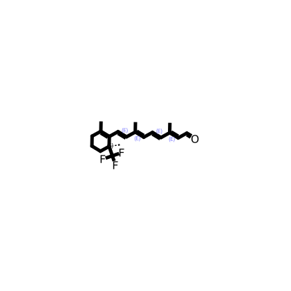 CC1=C(/C=C/C(C)=C/C=C/C(C)=C/C=O)[C@@](C)(C(F)(F)F)CCC1